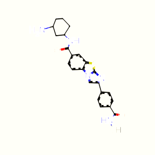 CNC(=O)c1ccc(-c2cn3c(n2)sc2cc(C(=O)NC4CCCC(N)C4)ccc23)cc1